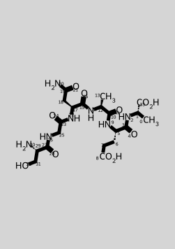 C[C@H](NC(=O)[C@H](CCC(=O)O)NC(=O)[C@H](C)NC(=O)[C@H](CC(N)=O)NC(=O)CNC(=O)[C@@H](N)CO)C(=O)O